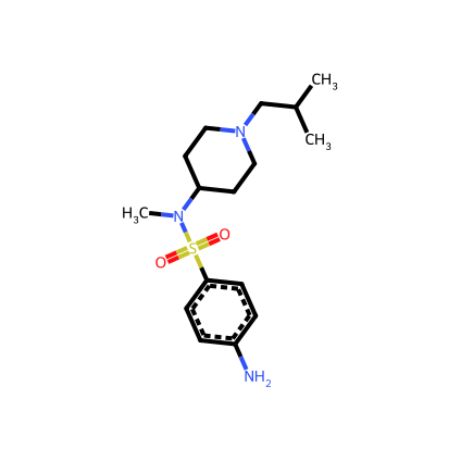 CC(C)CN1CCC(N(C)S(=O)(=O)c2ccc(N)cc2)CC1